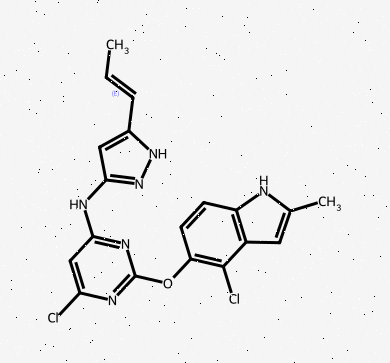 C/C=C/c1cc(Nc2cc(Cl)nc(Oc3ccc4[nH]c(C)cc4c3Cl)n2)n[nH]1